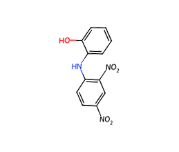 O=[N+]([O-])c1ccc(Nc2ccccc2O)c([N+](=O)[O-])c1